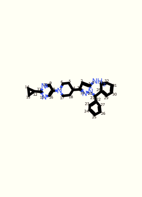 Nc1cc(C2CCN(c3cnc(C4CC4)nc3)CC2)nn1C(c1ccccc1)c1ccccc1